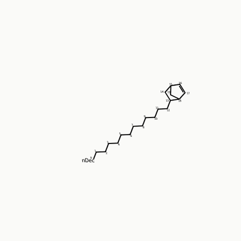 CCCCCCCCCCCCCCCCCCCCCCC1CC2C=CC1C2